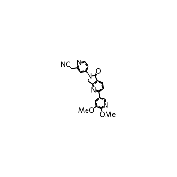 COc1cc(-c2ccc3c(n2)CN(c2ccnc(CC#N)c2)C3=O)cnc1OC